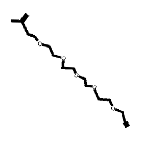 C#CCOCCOCCOCCOCCOCCC(=C)C